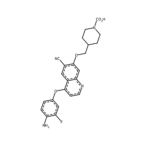 N#Cc1cc2c(Oc3ccc(N)c(F)c3)ccnc2cc1OCC1CCN(C(=O)O)CC1